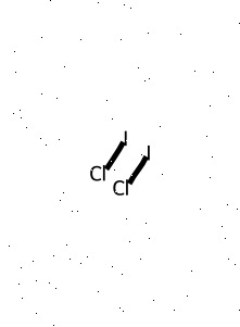 ClI.ClI